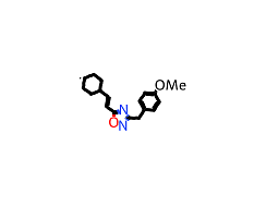 COc1ccc(Cc2noc(C=CC3CC[CH]CC3)n2)cc1